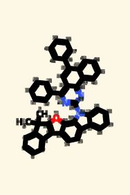 CC1(C)c2ccccc2-c2c1oc1c2ccc2c3ccccc3n(-c3nc(-c4ccccc4)c4cc(-c5ccccc5)c5ccccc5c4n3)c21